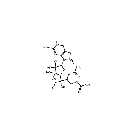 CC(=O)OCC(OC(C)=O)[C@@](O)(CO)[C@H]1O[C@@H](n2c3c(sc2=O)CNC(N)=N3)C(O)(O)C1(O)O